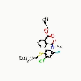 C#CCOC(=O)C1=C(C(=O)N(C(C)=O)c2cc(SCC(=O)OCC)c(Cl)cc2F)CCCC1